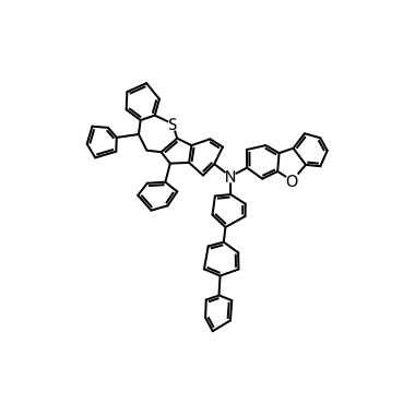 c1ccc(-c2ccc(-c3ccc(N(c4ccc5c(c4)C(c4ccccc4)C4=C5Sc5ccccc5C(c5ccccc5)C4)c4ccc5c(c4)oc4ccccc45)cc3)cc2)cc1